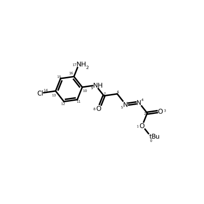 CC(C)(C)OC(=O)N=NCC(=O)Nc1ccc(Cl)cc1N